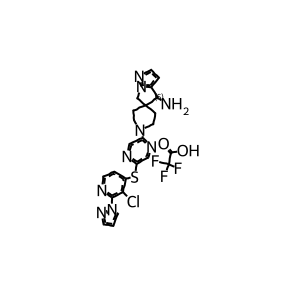 N[C@@H]1c2ccnn2CC12CCN(c1cnc(Sc3ccnc(-n4cccn4)c3Cl)cn1)CC2.O=C(O)C(F)(F)F